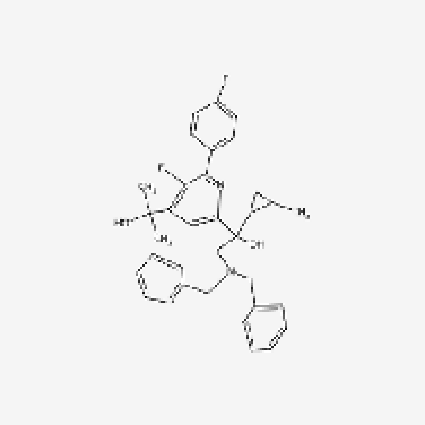 CC1CC1C(O)(CN(Cc1ccccc1)Cc1ccccc1)c1cc(C(C)(C)O)c(F)c(-c2ccc(F)cc2)n1